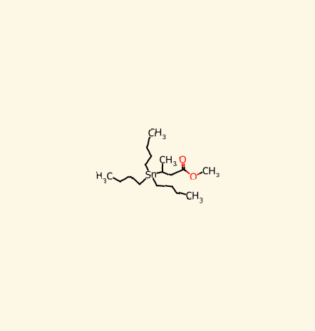 CCC[CH2][Sn]([CH2]CCC)([CH2]CCC)[CH](C)CC(=O)OC